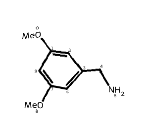 COc1[c]c(CN)cc(OC)c1